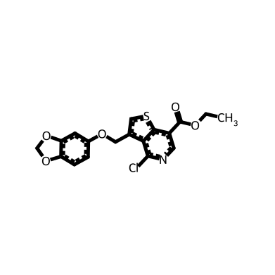 CCOC(=O)c1cnc(Cl)c2c(COc3ccc4c(c3)OCO4)csc12